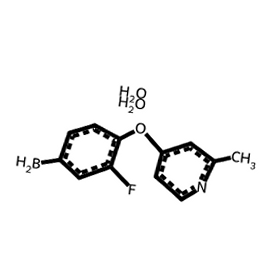 Bc1ccc(Oc2ccnc(C)c2)c(F)c1.O.O